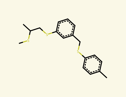 CSC(C)CSc1cccc(CSc2ccc(C)cc2)c1